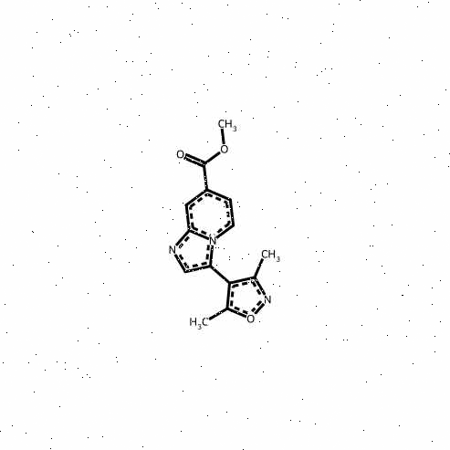 COC(=O)c1ccn2c(-c3c(C)noc3C)cnc2c1